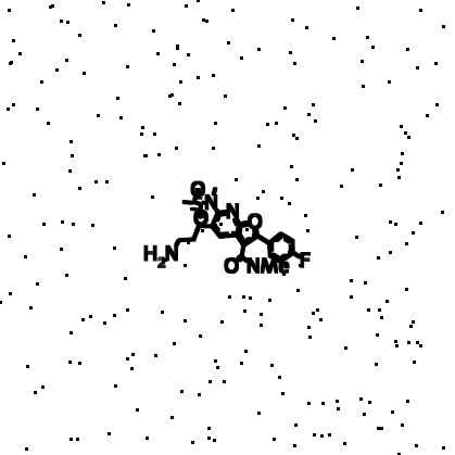 CNC(=O)c1c(-c2ccc(F)cc2)oc2nc(N(C)S(C)(=O)=O)c(CCCN)cc12